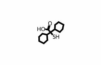 O=C(O)C(S)(C1CCCCC1)C1CCCCC1